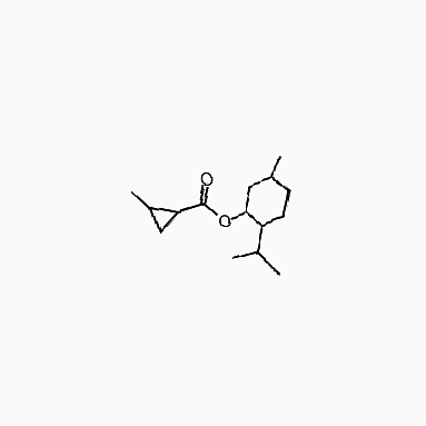 CC1CCC(C(C)C)C(OC(=O)C2CC2C)C1